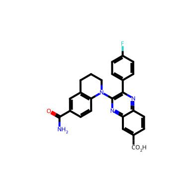 NC(=O)c1ccc2c(c1)CCCN2c1nc2cc(C(=O)O)ccc2nc1-c1ccc(F)cc1